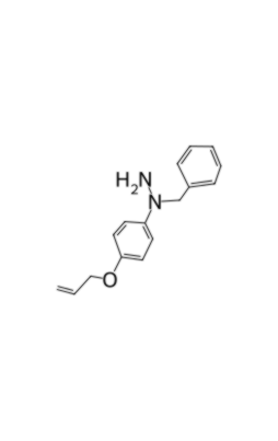 C=CCOc1ccc(N(N)Cc2ccccc2)cc1